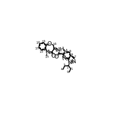 CCC(CC)n1ncc2cnc(C(=O)N[C@H]3COc4ccccc4N(C)C3=O)nc21